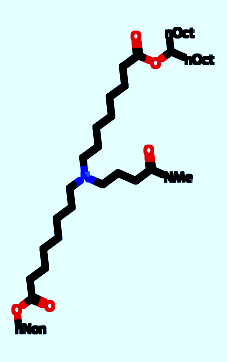 CCCCCCCCCOC(=O)CCCCCCCN(CCCCCCCC(=O)OC(CCCCCCCC)CCCCCCCC)CCCC(=O)NC